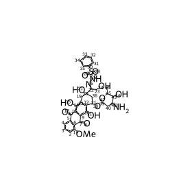 COc1cccc2c1C(=O)c1c(O)c3c(c(O)c1C2=O)C[C@@](O)(/C(CO)=N/NS(=O)(=O)c1ccccc1)C[C@@H]3O[C@H]1C[C@H](N)[C@H](O)[C@H](C)O1